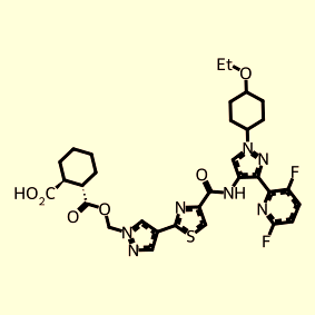 CCOC1CCC(n2cc(NC(=O)c3csc(-c4cnn(COC(=O)[C@H]5CCCC[C@@H]5C(=O)O)c4)n3)c(-c3nc(F)ccc3F)n2)CC1